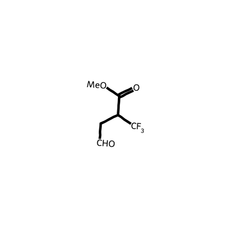 COC(=O)C(CC=O)C(F)(F)F